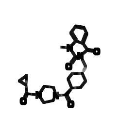 Cn1c(=O)n(C[C@H]2CC[C@H](C(=O)N3CCN(C(=O)C4CC4)CC3)CC2)c(=O)c2ccccc21